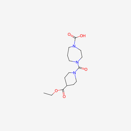 CCOC(=O)C1CCN(C(=O)N2CCCN(C(=O)O)CC2)CC1